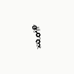 O=C(N[C@H]1CN2CCC1CC2)c1ccc(Sc2ccnc(CC(F)(F)F)c2)cc1